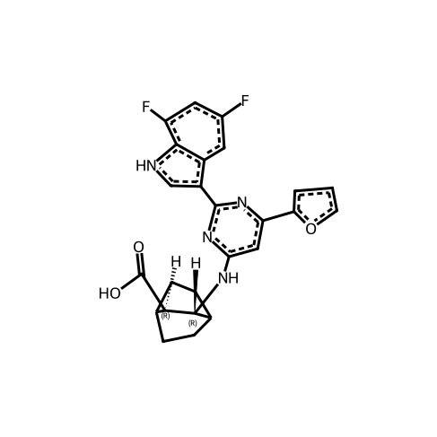 O=C(O)[C@@H]1C2CCC(CC2)[C@H]1Nc1cc(-c2ccco2)nc(-c2c[nH]c3c(F)cc(F)cc23)n1